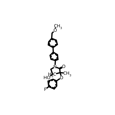 COCc1ccc(-c2ccc(N(CCO)C(=O)C(C)(C)Oc3ccc(F)cc3)cc2)cc1